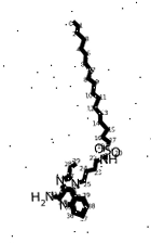 CCCCCCCCCCCCCCCCCCS(=O)(=O)NCCCCn1c(CC)nc2c(N)nc3ccccc3c21